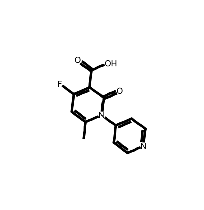 Cc1cc(F)c(C(=O)O)c(=O)n1-c1ccncc1